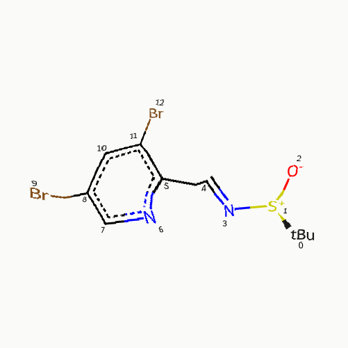 CC(C)(C)[S@+]([O-])N=Cc1ncc(Br)cc1Br